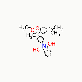 CCOC(=O)C(C)(c1ccc(CC(C)C)cc1)c1ccc(N2C(O)c3ccccc3C2O)cc1